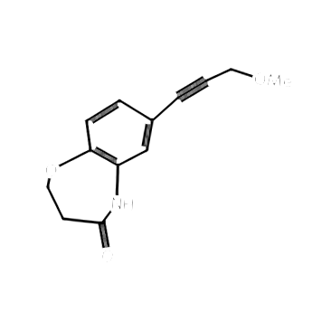 COCC#Cc1ccc2c(c1)NC(=O)CCO2